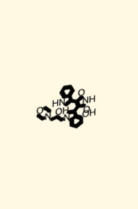 O=C1NC(=O)C(c2cn(CC(O)CN3CCOCC3)c3cccc(O)c23)=C1c1c[nH]c2ccccc12